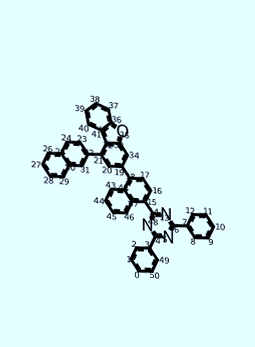 c1ccc(-c2nc(-c3ccccc3)nc(-c3ccc(-c4cc(-c5ccc6ccccc6c5)c5c(c4)oc4ccccc45)c4ccccc34)n2)cc1